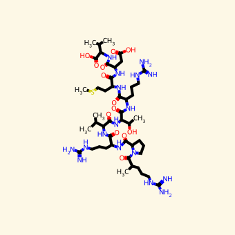 CSCCC(NC(=O)C(CCCNC(=N)N)NC(=O)C(NC(=O)C(NC(=O)C(CCCNC(=N)N)NC(=O)C1CCCN1C(=O)C(C)CCCNC(=N)N)C(C)C)C(C)O)C(=O)NC(CC(=O)O)C(=O)NC(C(=O)O)C(C)C